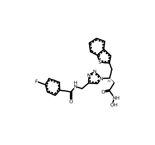 O=C(C[C@@H](Cc1cc2ccccc2s1)n1cc(CNC(=O)c2ccc(F)cc2)nn1)NO